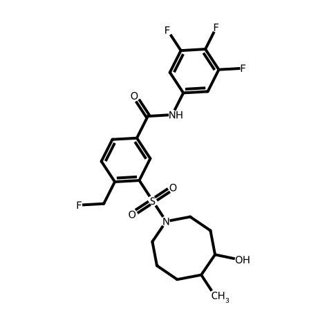 CC1CCCN(S(=O)(=O)c2cc(C(=O)Nc3cc(F)c(F)c(F)c3)ccc2CF)CCC1O